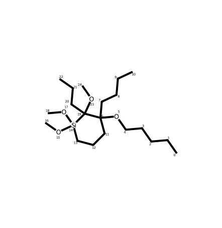 CCCCCOC1(CCCC)CCC[Si](OC)(OC)C1(CCC)OC